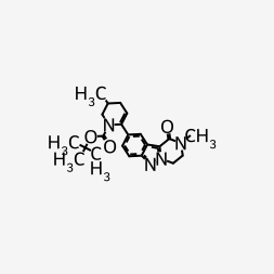 CC1CC=C(c2ccc3nn4c(c3c2)C(=O)N(C)CC4)N(C(=O)OC(C)(C)C)C1